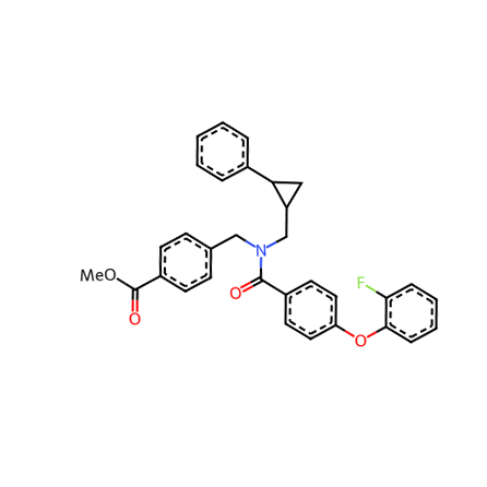 COC(=O)c1ccc(CN(CC2CC2c2ccccc2)C(=O)c2ccc(Oc3ccccc3F)cc2)cc1